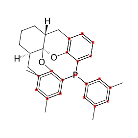 Cc1cc(C)cc(P(c2cc(C)cc(C)c2)c2cccc3c2O[C@]24Oc5c(cccc5P(c5ccccc5)c5ccccc5)C[C@H]2CCC[C@@H]4C3)c1